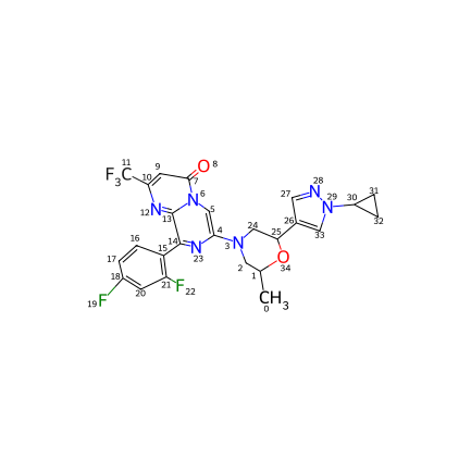 CC1CN(c2cn3c(=O)cc(C(F)(F)F)nc3c(-c3ccc(F)cc3F)n2)CC(c2cnn(C3CC3)c2)O1